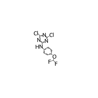 FC(F)Oc1ccc(Nc2nc(Cl)nc(Cl)n2)cc1